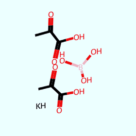 CC(=O)C(=O)O.CC(=O)C(=O)O.OB(O)O.[KH]